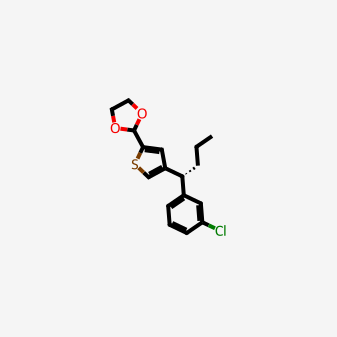 CCC[C@H](c1cccc(Cl)c1)c1csc(C2OCCO2)c1